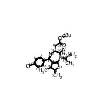 CC1SC2=C(C(c3ccc(Cl)cc3)=N[C@@H](CC(=O)OC(C)(C)C)C(N)N2C(C)N)C1C